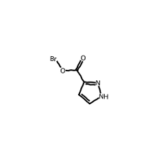 O=C(OBr)c1cc[nH]n1